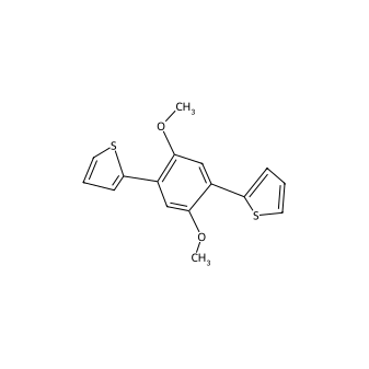 COc1cc(-c2cccs2)c(OC)cc1-c1cccs1